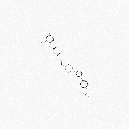 CC(C)c1cc(F)ccc1NC(=S)NC(=O)NCCC1CCN(c2ncn(-c3ccc(OC(F)(F)F)cc3)n2)CC1